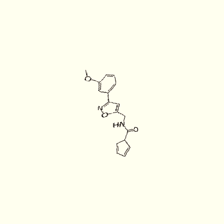 COc1cccc(-c2cc(CNC(=O)C3C=CC=C3)on2)c1